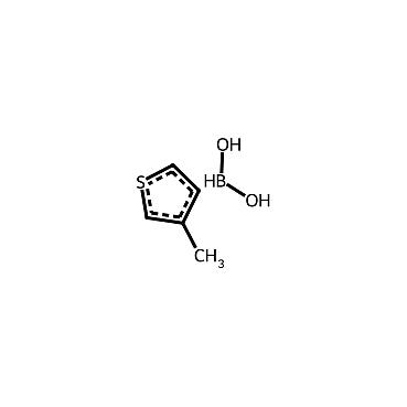 Cc1ccsc1.OBO